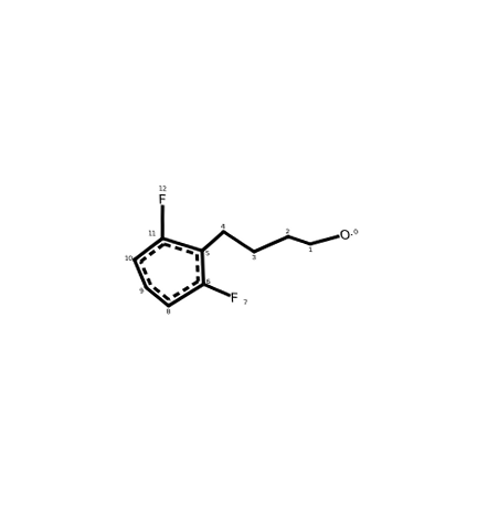 [O]CCCCc1c(F)cccc1F